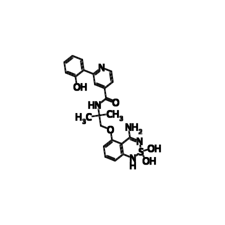 CC(C)(COc1cccc2c1C(N)=NS(O)(O)N2)NC(=O)c1ccnc(-c2ccccc2O)c1